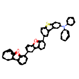 c1ccc(N(c2ccccc2)c2ccc3sc4ccc(-c5cccc6c5oc5ccc(-c7cccc8c7oc7ccccc78)cc56)cc4c3c2)cc1